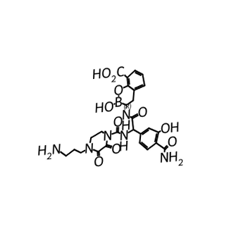 NCCCN1CCN(C(=O)NC(C(=O)N[C@H]2Cc3cccc(C(=O)O)c3OB2O)c2ccc(C(N)=O)c(O)c2)C(=O)C1=O